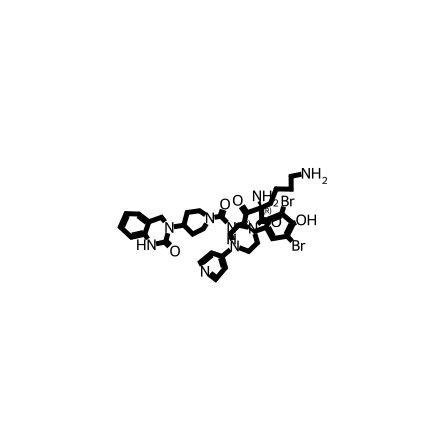 NCCCC[C@@](N)(C(=O)[C@@H](Cc1cc(Br)c(O)c(Br)c1)NC(=O)N1CCC(N2Cc3ccccc3NC2=O)CC1)C(=O)N1CCN(c2ccncc2)CC1